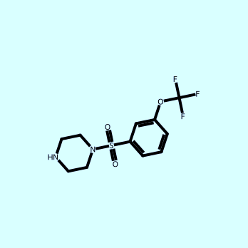 O=S(=O)(c1cccc(OC(F)(F)F)c1)N1CCNCC1